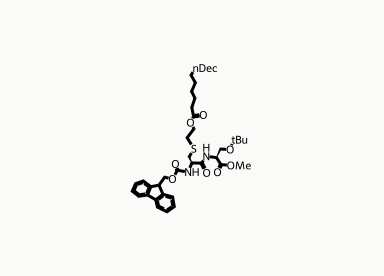 CCCCCCCCCCCCCCCC(=O)OCCSC[C@H](NC(=O)OCC1c2ccccc2-c2ccccc21)C(=O)N[C@@H](COC(C)(C)C)C(=O)OC